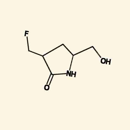 O=C1NC(CO)CC1CF